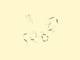 COC1=CC=CC2N=C(c3cccc(C4=NC5C=CC=C(OC)C5=N4)n3)N=C12.[Cl-].[Cl-].[Cl-].[Co+3]